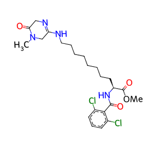 COC(=O)[C@H](CCCCCCCCNC1=NCC(=O)N(C)C1)NC(=O)c1c(Cl)cccc1Cl